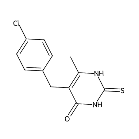 Cc1[nH]c(=S)[nH]c(=O)c1Cc1ccc(Cl)cc1